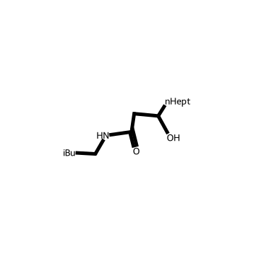 CCCCCCCC(O)CC(=O)NCC(C)CC